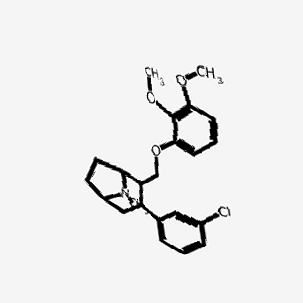 COc1cccc(OCC2C(c3cccc(Cl)c3)CC3CCC2N3C)c1OC